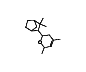 CC1=CC(C)OC(C2C3CCC(C3)C2(C)C)C1